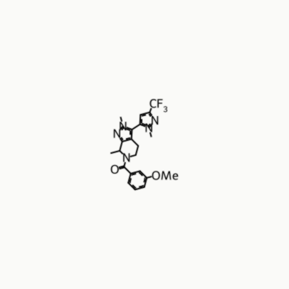 COc1cccc(C(=O)N2CCc3c(nn(C)c3-c3cc(C(F)(F)F)nn3C)C2C)c1